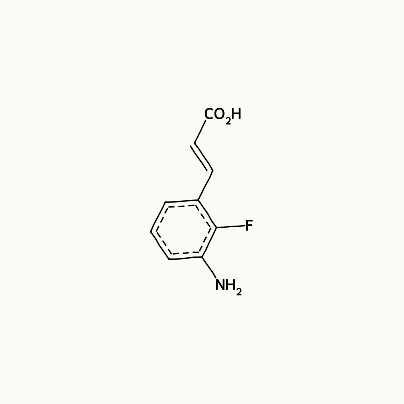 Nc1cccc(/C=C/C(=O)O)c1F